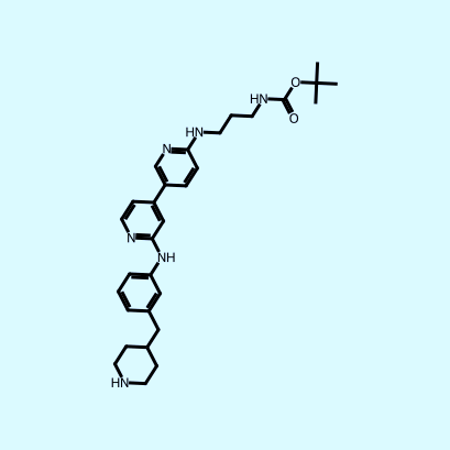 CC(C)(C)OC(=O)NCCCNc1ccc(-c2ccnc(Nc3cccc(CC4CCNCC4)c3)c2)cn1